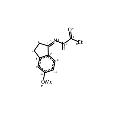 CCC(=O)N/N=C1/CCc2cc(OC)ccc21